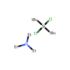 CC(C)(C)[Si](Cl)(Cl)C(C)(C)C.CCN(CC)CC